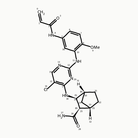 C=CC(=O)Nc1ccc(OC)c(Nc2ncc(Cl)c(N[C@H]3[C@@H]4CC[C@@H](C4)[C@H]3C(N)=O)n2)c1